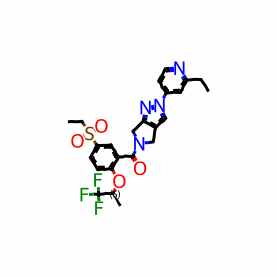 CCc1cc(-n2cc3c(n2)CN(C(=O)c2cc(S(=O)(=O)CC)ccc2O[C@@H](C)C(F)(F)F)C3)ccn1